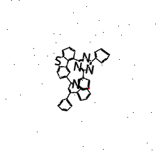 c1ccc(-c2nc(-c3ccccc3)nc(-c3cccc4sc5ccc(-c6cc(-c7ccccc7)c7ccccc7n6)cc5c34)n2)cc1